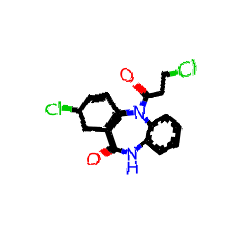 O=C1Nc2ccccc2N(C(=O)CCCl)C2=C1CC(Cl)C=C2